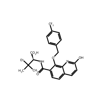 CCC(C)(C)[C@H](NC(=O)c1ccc2ccc(O)nc2c1OCc1ccc(C(F)(F)F)cc1)C(=O)O